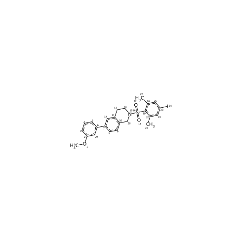 COc1cccc(-c2ccc3c(c2)CCN(S(=O)(=O)c2c(C)cc(I)cc2C)C3)c1